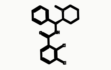 CN1CCCC[C@H]1C(NC(=O)c1cccc(Cl)c1Cl)c1ccccc1